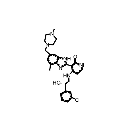 Cc1cc(CN2CCN(C)CC2)cc2[nH]c(-c3c(NC[C@@H](O)c4cccc(Cl)c4)cc[nH]c3=O)nc12